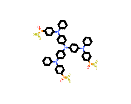 O=P(c1ccc(N(c2ccccc2)c2ccc(N(c3ccc(N(c4ccccc4)c4ccc(P(=O)=S(=S)=S)cc4)cc3)c3ccc(N(c4ccccc4)c4ccc(P(=O)=S(=S)=S)cc4)cc3)cc2)cc1)=S(=S)=S